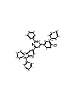 Clc1ccc(-c2nc(-c3ccccc3)nc(-c3ccc4c(c3)c3ccccc3n4-c3ccccc3)n2)cc1-c1ccccc1